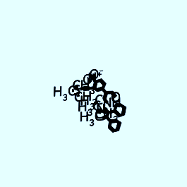 C/C=C(\C(=C(\N/C(C)=C(\C=O)c1ccc([N+](=O)[O-])c(C#CS(C)(C)C)c1)N(C)C)c1ccccc1)c1ccccc1